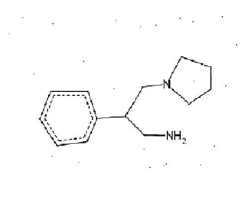 NCC(CN1CCCC1)c1ccccc1